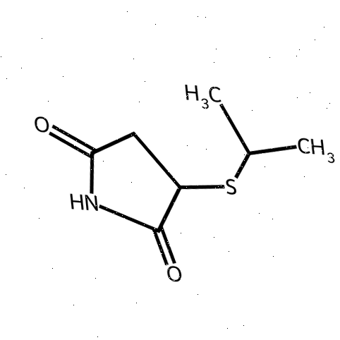 CC(C)SC1CC(=O)NC1=O